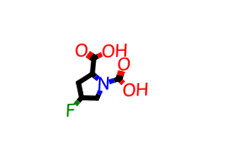 O=C(O)C1CC(F)CN1C(=O)O